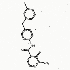 Cn1nccc(C(=O)Nc2ccc(Cc3cccc(F)c3)cn2)c1=O